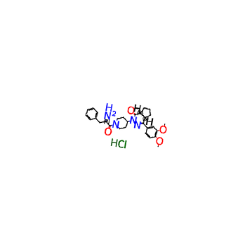 COc1ccc(C2=NN(C3CCN(C(=O)[C@H](N)Cc4ccccc4)CC3)C(=O)[C@@H]3CCC[C@H]23)cc1OC.Cl